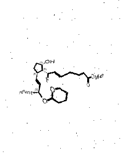 CCCCC[C@@H](C=C[C@H]1CC[C@H](O)[C@@H]1C(F)C=CCCCC(=O)OC)OC1CCCCO1